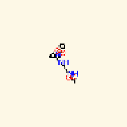 CC(C)(C)OC(=O)NCCCCCNCc1cn(S(=O)(=O)c2ccccc2)c2ccccc12